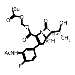 CC(=O)Nc1cc(C2=C(C(=O)OCOC(=O)C(C)(C)C)N3C(=O)[C@H]([C@@H](C)O)[C@H]3C2)ccc1F